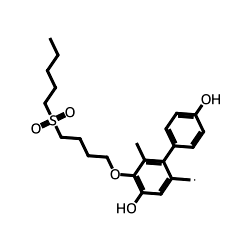 [CH2]c1cc(O)c(OCCCCS(=O)(=O)CCCCC)c(C)c1-c1ccc(O)cc1